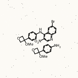 COC1(c2ccc(N)cc2)COC1.COC1(c2ccc(Nc3c([N+](=O)[O-])cnc4ccc(Br)cc34)cc2)COC1